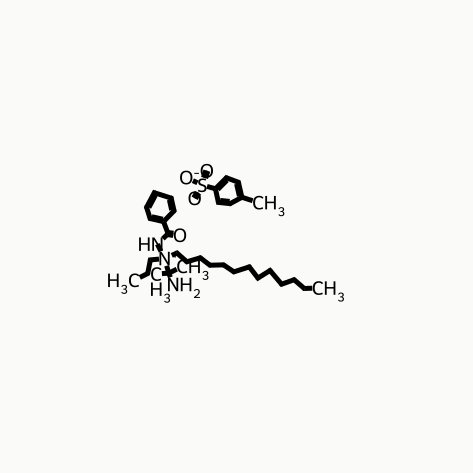 CCCCCCCCCCCCC[N+](CCC)(NC(=O)c1ccccc1)C(C)(C)N.Cc1ccc(S(=O)(=O)[O-])cc1